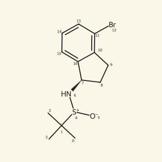 CC(C)(C)[S+]([O-])N[C@@H]1CCc2c(Br)cccc21